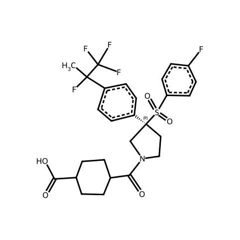 CC(F)(c1ccc([C@]2(S(=O)(=O)c3ccc(F)cc3)CCN(C(=O)C3CCC(C(=O)O)CC3)C2)cc1)C(F)(F)F